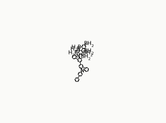 Bc1cc(B)c(-c2c(B)c(B)c(-n3c4ccccc4c4cc(-c5ccc6c(c5)c5ccccc5n6-c5ccc(-c6ccccc6)cc5)ccc43)c(B)c2B)c(B)c1